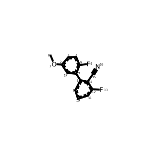 COc1ccc(F)c(-c2cccc(F)c2C#N)c1